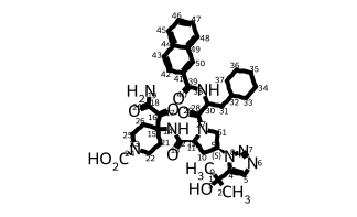 CC(C)(O)c1cnnn1[C@H]1C[C@@H](C(=O)NC2(C(=O)C(N)=O)CCN(C(=O)O)CC2)N(C(=O)C(CC2CCCCC2)NC(=O)c2ccc3ccccc3c2)C1